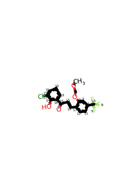 COCOc1cc(C(F)(F)F)ccc1C=CC(=O)c1cccc(Cl)c1O